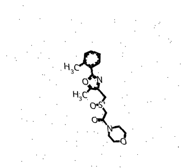 Cc1ccccc1-c1nc(C[S+]([O-])CC(=O)N2CCOCC2)c(C)o1